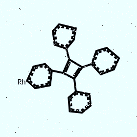 [Rh].c1ccc(C2=C(c3ccccc3)C(c3ccccc3)=C2c2ccccc2)cc1